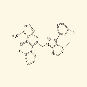 Cc1cccc2cc(Cn3nc(-c4cccc(Cl)c4)c4c(I)ncnc43)n(-c3ccccc3F)c(=O)c12